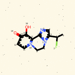 CC(F)c1cnc2n1CCn1ccc(=O)c(O)c1-2